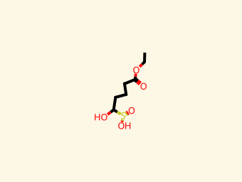 CCOC(=O)CCCC(O)S(=O)O